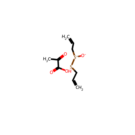 C=CCS[S+]([O-])CC=C.CC(=O)C(=O)O